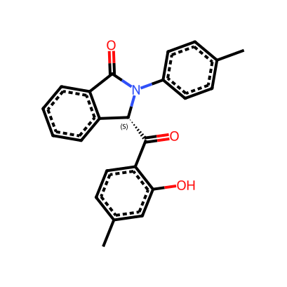 Cc1ccc(N2C(=O)c3ccccc3[C@H]2C(=O)c2ccc(C)cc2O)cc1